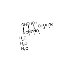 O.O.O.O.O.O=[N+]([O-])O.O=[N+]([O-])O.O=[N+]([O-])O.[Nd]